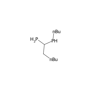 CCCCCC(P)PCCCC